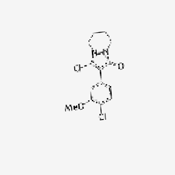 COc1cc(-c2c(Cl)n3n(c2=O)CCCC3)ccc1Cl